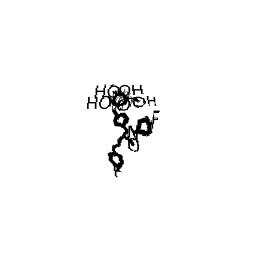 O=C1C(CCCc2ccc(F)cc2)C(c2ccc(C[C@H]3O[C@H](CO)[C@@H](O)[C@H](O)[C@H]3O)cc2)N1c1ccc(F)cc1